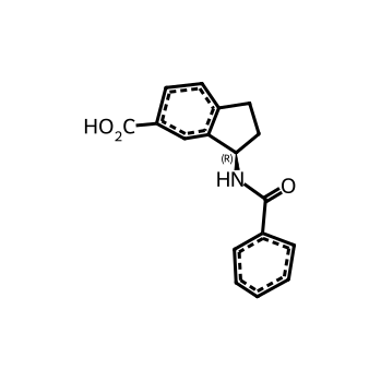 O=C(O)c1ccc2c(c1)[C@H](NC(=O)c1ccccc1)CC2